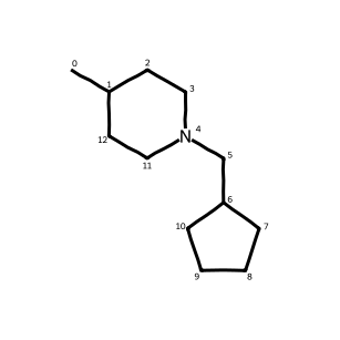 CC1CCN(CC2CCCC2)CC1